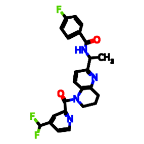 CC(NC(=O)c1ccc(F)cc1)c1ccc2c(n1)CCCN2C(=O)c1cc(C(F)F)ccn1